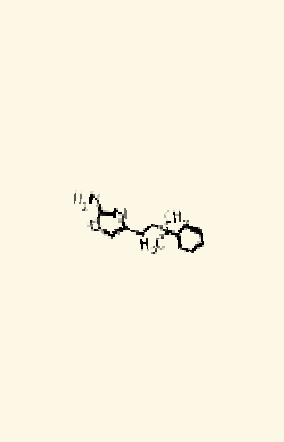 C[Si](C)(CC[C@H]1COC(N)=N1)c1ccccc1